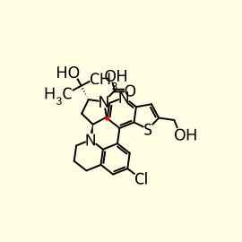 CC(C)(O)[C@H]1C[C@H](N2CCCc3cc(Cl)cc(-c4ccnc5cc(CO)sc45)c32)CN1C(=O)O